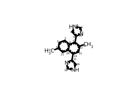 Cc1ccc2c(-c3c[nH]cn3)c(C)cc(-c3c[nH]cn3)c2c1